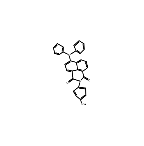 CCCCc1ccc(N2C(=O)c3cccc4c(N(c5ccccc5)c5ccccc5)ccc(c34)C2=O)cc1